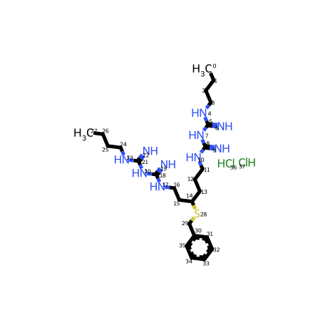 CCCCNC(=N)NC(=N)NCCCC(CCNC(=N)NC(=N)NCCCC)SCc1ccccc1.Cl.Cl